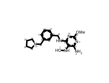 COc1nc(N)c(NO)c(NCc2cccc(CN3CCCC3)c2)n1